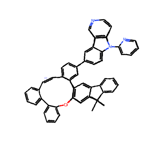 CC1(C)c2ccccc2-c2cc3c(cc21)Oc1ccccc1-c1ccccc1/C=C\c1ccc(-c2ccc4c(c2)c2cnccc2n4-c2ccccn2)cc1-3